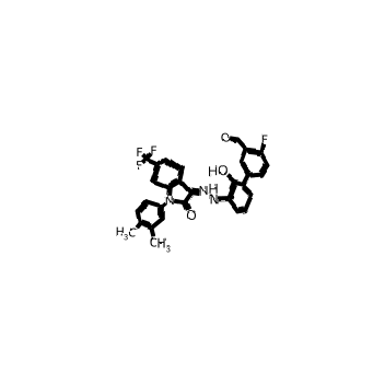 Cc1ccc(N2C(=O)/C(=N\Nc3cccc(-c4ccc(F)c(C=O)c4)c3O)c3ccc(C(F)(F)F)cc32)cc1C